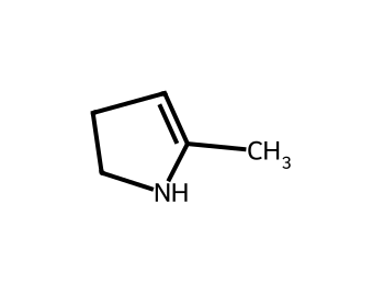 CC1=CCCN1